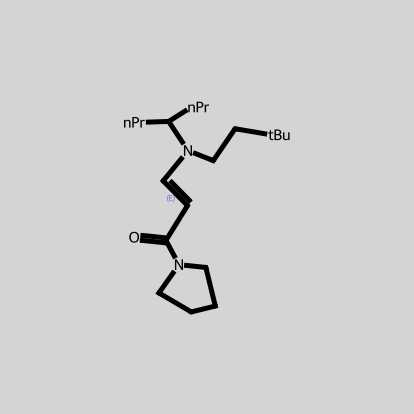 CCCC(CCC)N(/C=C/C(=O)N1CCCC1)CCC(C)(C)C